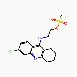 CS(=O)(=O)OCCNc1c2c(nc3cc(Cl)ccc13)CCCC2